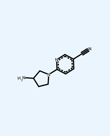 N#Cc1ccc(N2CCC(N)C2)nc1